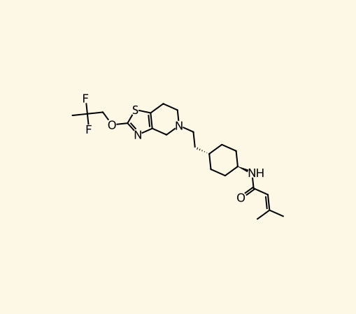 CC(C)=CC(=O)N[C@H]1CC[C@H](CCN2CCc3sc(OCC(C)(F)F)nc3C2)CC1